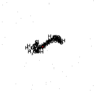 Cc1sc2c(c1C)C(c1ccc(Cl)cc1)=N[C@@H](CC(=O)Nc1ccc(/N=N/c3ccc(NC(=O)COc4cccc5c4C(=O)N(C4CCC(=O)NC4=O)C5=O)cc3)cc1)c1nnc(C)n1-2